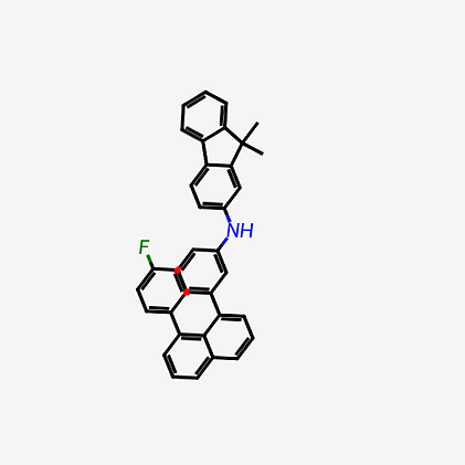 CC1(C)c2ccccc2-c2ccc(Nc3cccc(-c4cccc5cccc(-c6ccc(F)cc6)c45)c3)cc21